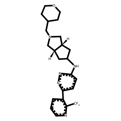 FC(F)(F)c1ncccc1-c1ccc(NC2C[C@@H]3CN(CC4CCOCC4)C[C@@H]3C2)nn1